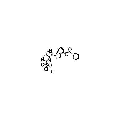 CS(=O)(=O)c1ncc2cnn(C3CCc4c(OC(=O)c5ccccc5)cccc43)c2n1